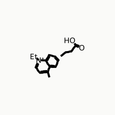 CCCC(=O)O.CC[n+]1ccc(C)c2ccccc21